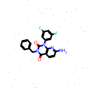 Nc1ccc2c(=O)n(Cc3ccccc3)c(=O)n(-c3cc(F)cc(F)c3)c2n1